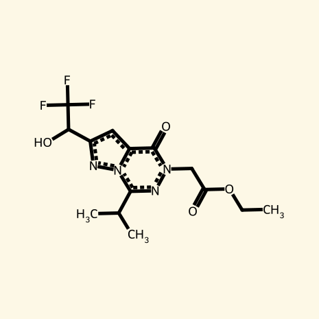 CCOC(=O)Cn1nc(C(C)C)n2nc(C(O)C(F)(F)F)cc2c1=O